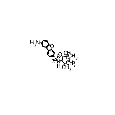 CC(C)C(NS(=O)(=O)c1ccc2c(c1)oc1ccc(N)cc12)C(=O)C(C)(C)C